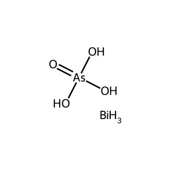 O=[As](O)(O)O.[BiH3]